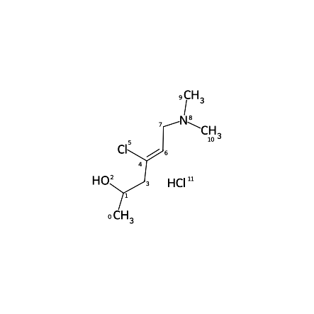 CC(O)CC(Cl)=CCN(C)C.Cl